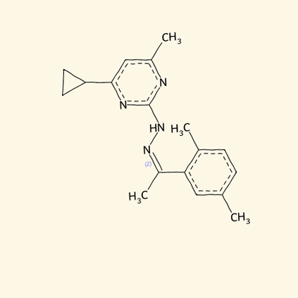 C/C(=N/Nc1nc(C)cc(C2CC2)n1)c1cc(C)ccc1C